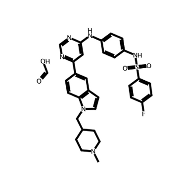 CN1CCC(Cn2ccc3cc(-c4cc(Nc5ccc(NS(=O)(=O)c6ccc(F)cc6)cc5)ncn4)ccc32)CC1.O=CO